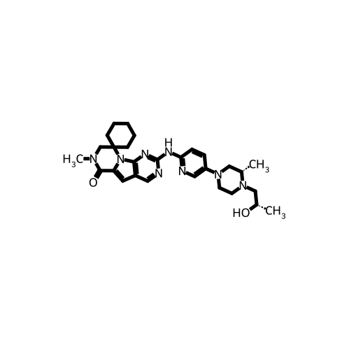 C[C@H](O)CN1CCN(c2ccc(Nc3ncc4cc5n(c4n3)C3(CCCCC3)CN(C)C5=O)nc2)C[C@@H]1C